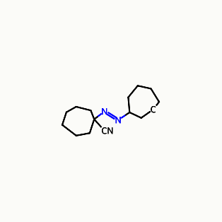 N#CC1(/N=N/C2CCCCCC2)CCCCCC1